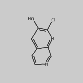 Oc1cc2ccncc2nc1Cl